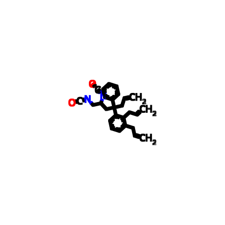 C=CCc1cccc(C(CC=C)(CC(CN=C=O)N=C=O)c2ccccc2)c1CC=C